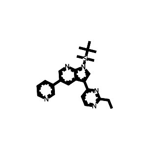 CCc1nccc(-c2cn([Si](C)(C)C(C)(C)C)c3ncc(-c4cccnc4)cc23)n1